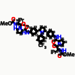 COC(=O)N[C@H](C(=O)N1CCC[C@H]1C(=O)Nc1ccc([C@H]2CC[C@H](c3ccc(NC(=O)[C@@H]4CCCN4C(=O)[C@@H](NC(=O)OC)C(C)C)cc3)N2c2ccc(C(F)(F)F)cc2)cc1)C(C)C